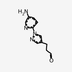 Nc1ccc(-n2cc(CCC=O)cn2)nc1